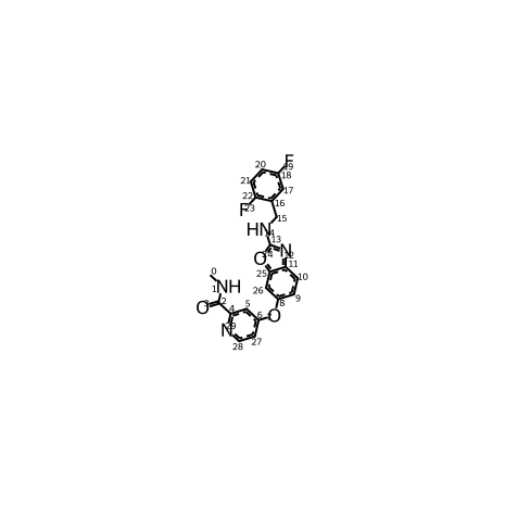 CNC(=O)c1cc(Oc2ccc3nc(NCc4cc(F)ccc4F)oc3c2)ccn1